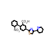 O=C(O)c1cc(-c2nc(-c3ccccn3)cs2)ccc1-c1ccccc1[N+](=O)[O-]